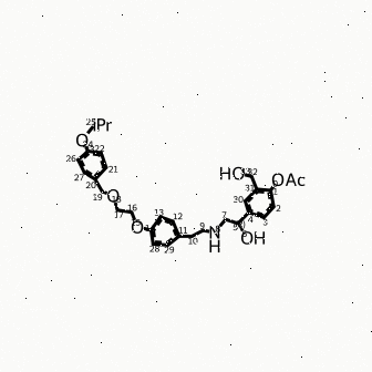 CC(=O)Oc1ccc([C@@H](O)CNCCc2ccc(OCCOCc3ccc(OC(C)C)cc3)cc2)cc1CO